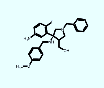 COc1ccc(CN[C@@]2(c3cc(N)ccc3F)CN(Cc3ccccc3)CC2CO)cc1